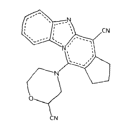 N#Cc1c2c(c(N3CCOC(C#N)C3)n3c1nc1ccccc13)CCC2